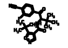 CC(C)(C)c1oncc1C(=O)NC(C(=O)c1ccc(C#N)c(F)c1)C(C)(C)C